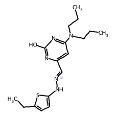 CCCN(CCC)c1cc(/C=N/Nc2ccc(CC)s2)nc(O)n1